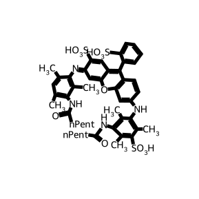 CCCCCC(=O)Nc1c(C)cc(C)c(/N=c2\cc3oc4cc(Nc5c(C)c(NC(=O)CCCCC)c(C)c(S(=O)(=O)O)c5C)ccc4c(-c4ccccc4S(=O)(=O)O)c-3cc2S(=O)(=O)O)c1C